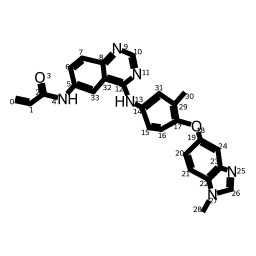 C=CC(=O)Nc1ccc2ncnc(Nc3ccc(Oc4ccc5c(c4)ncn5C)c(C)c3)c2c1